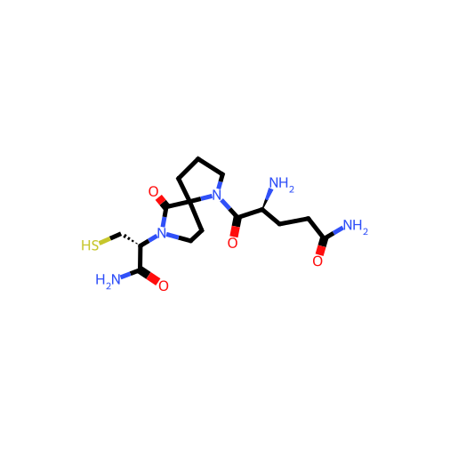 NC(=O)CC[C@H](N)C(=O)N1CCCC12CCN([C@@H](CS)C(N)=O)C2=O